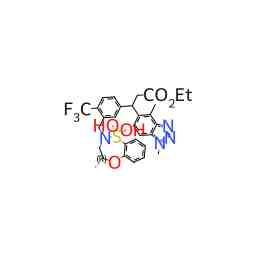 CCOC(=O)CC(c1ccc(C(F)(F)F)c(CN2C[C@@H](C)Oc3ccccc3S2(O)O)c1)c1ccc2c(nnn2C)c1C